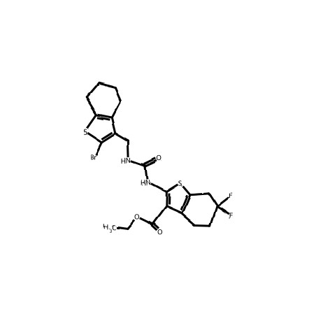 CCOC(=O)c1c(NC(=O)NCc2c(Br)sc3c2CCCC3)sc2c1CCC(F)(F)C2